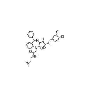 C[C@@H](Cc1ccc(Cl)c(Cl)c1)C(=O)NC1N=C(c2ccccc2)c2ccccc2N(CC(=O)NCCN(C)C)C1=O